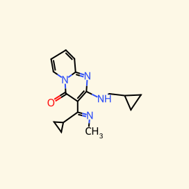 CN=C(c1c(NCC2CC2)nc2ccccn2c1=O)C1CC1